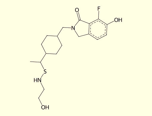 CC(SNCCO)C1CCC(CN2Cc3ccc(O)c(F)c3C2=O)CC1